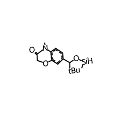 CN1C(=O)COc2cc(C(O[SiH](C)C)C(C)(C)C)ccc21